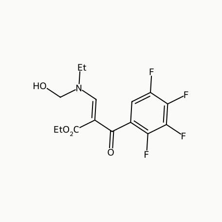 CCOC(=O)C(=CN(CC)CO)C(=O)c1cc(F)c(F)c(F)c1F